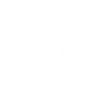 BOc1cccnc1